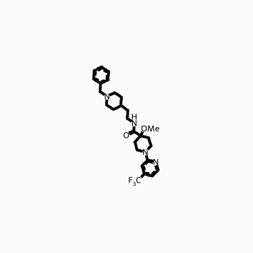 COC1(C(=O)NCCC2CCN(Cc3ccccc3)CC2)CCN(c2cc(C(F)(F)F)ccn2)CC1